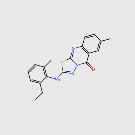 CCc1cccc(C)c1Nc1nn2c(=O)c3cc(C)ccc3nc2s1